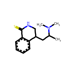 CC(CC1CNC(=S)c2ccccc21)N(C)C